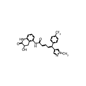 Cn1cc(/C(=C/C=C/C(=O)Nc2cccc3c2CC(O)C(=O)N3)c2ccc(C(F)(F)F)cc2)cn1